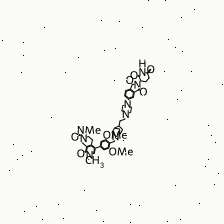 CNC(=O)N1CCc2c(-c3cc(OC)c(CN4CC5CC4CC5CCN4CCN(c5ccc6c(c5)C(=O)N(C5CCC(=O)NC5=O)C6=O)CC4)c(OC)c3)cn(C)c(=O)c2C1